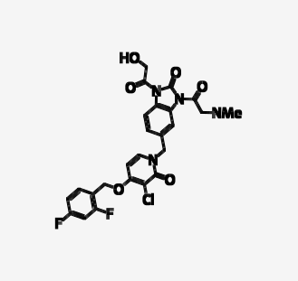 CNCC(=O)n1c(=O)n(C(=O)CO)c2ccc(Cn3ccc(OCc4ccc(F)cc4F)c(Cl)c3=O)cc21